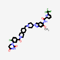 COc1cc2nn(C3CCN(CC4CCC5(CC4)CCN(C(=O)c4ccc(F)c(N6CCC(=O)NC6=O)c4)CC5)CC3)cc2cc1NC(=O)c1cccc(C(F)(F)F)n1